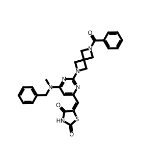 CN(Cc1ccccc1)c1cc(/C=C2/SC(=O)NC2=O)nc(N2CC3(CN(C(=O)c4ccccc4)C3)C2)n1